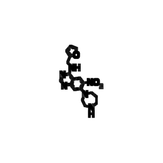 O=[N+]([O-])c1cc2c(NCc3ccco3)ncnc2cc1N1CCCNCC1